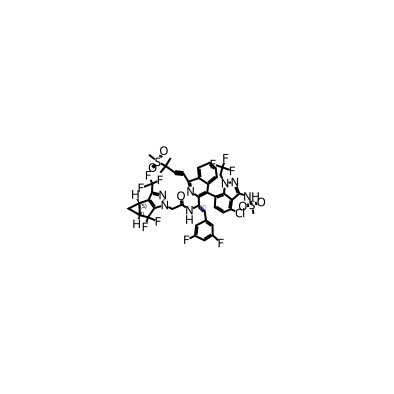 CC(C)(C#Cc1nc(/C(=C/c2cc(F)cc(F)c2)NC(=O)Cn2nc(C(F)(F)F)c3c2C(F)(F)[C@@H]2C[C@H]32)c(-c2ccc(Cl)c3c(NS(C)(=O)=O)nn(CC(F)(F)F)c23)c2ccccc12)S(C)(=O)=O